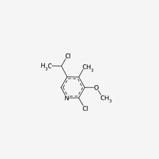 COc1c(Cl)ncc(C(C)Cl)c1C